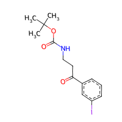 CC(C)(C)OC(=O)NCCC(=O)c1cccc(I)c1